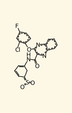 O=C(NC1=CC=CC(=S(=O)=O)C1)c1nc2ccccc2nc1Oc1ccc(F)cc1Cl